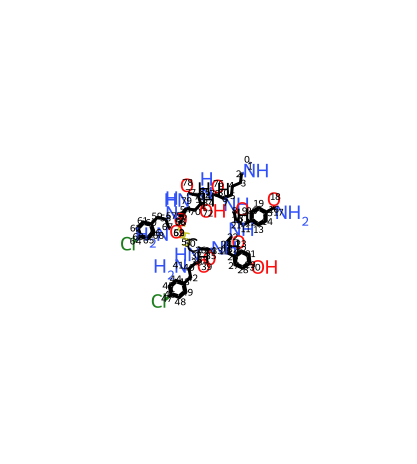 CNCCCC[C@@H]1NC(=O)[C@@H](Cc2ccc(C(N)=O)cc2)NC(=O)[C@H](Cc2ccc(O)cc2)NC(=O)[C@H](NC(=O)[C@@H](N)Cc2ccc(Cl)cc2)CSSCC2(C(=O)NC(Cc3ccc(Cl)cc3)C(N)=O)C[C@@H](O)[C@H](NC1=O)C(=O)N2